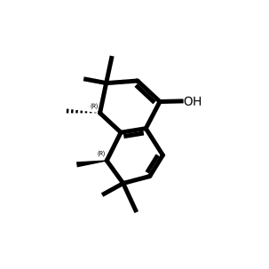 C[C@H]1C2=C(C=CC1(C)C)C(O)=CC(C)(C)[C@H]2C